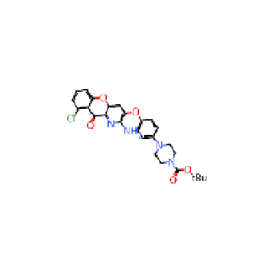 CC(C)(C)OC(=O)N1CCN(c2ccc(Oc3cc4oc5cccc(Cl)c5c(=O)c4nc3N)cc2)CC1